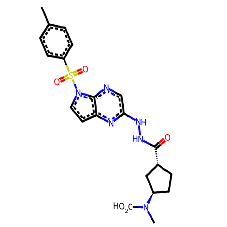 Cc1ccc(S(=O)(=O)n2ccc3nc(NNC(=O)[C@@H]4CC[C@@H](N(C)C(=O)O)C4)cnc32)cc1